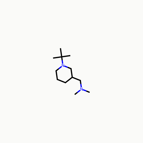 CN(C)CC1CCCN(C(C)(C)C)C1